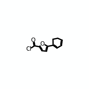 O=C(Cl)c1ccc(C2=CC=CCC2)o1